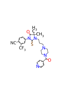 CC1(C)C(=O)N(c2ccc(C#N)c(C(F)(F)F)c2)C(=S)N1CCCN1CCN(C(=O)c2ccncc2)CC1